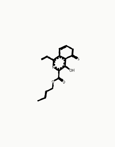 CCCCOC(=O)c1nc(CC)c2c(c1O)C(=S)CC=C2